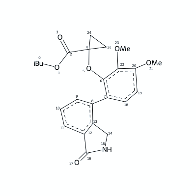 CCC(C)OC(=O)C1(Oc2c(-c3cccc4c3CNC4=O)ccc(OC)c2OC)CC1